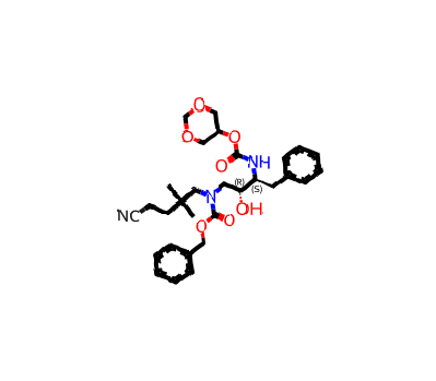 CC(C)(CCC#N)CN(C[C@@H](O)[C@H](Cc1ccccc1)NC(=O)OC1COCOC1)C(=O)OCc1ccccc1